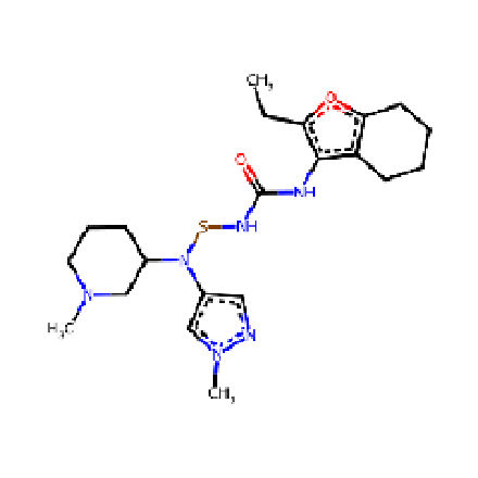 CCc1oc2c(c1NC(=O)NSN(c1cnn(C)c1)C1CCCN(C)C1)CCCC2